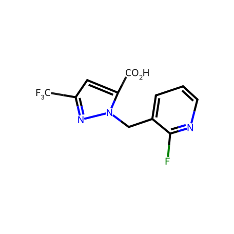 O=C(O)c1cc(C(F)(F)F)nn1Cc1cccnc1F